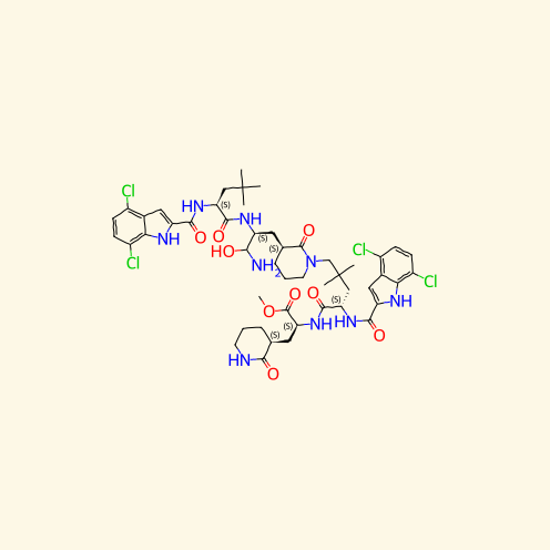 COC(=O)[C@H](C[C@@H]1CCCNC1=O)NC(=O)[C@H](CC(C)(C)CN1CCC[C@@H](C[C@H](NC(=O)[C@H](CC(C)(C)C)NC(=O)c2cc3c(Cl)ccc(Cl)c3[nH]2)C(N)O)C1=O)NC(=O)c1cc2c(Cl)ccc(Cl)c2[nH]1